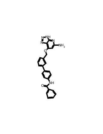 Nc1cc(OCc2cccc(-c3ccc(NC(=O)c4ccccc4)cc3)c2)c2nn[nH]c2n1